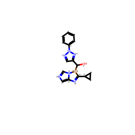 OC(c1cnn(-c2ccccc2)n1)[SH]1C(C2CC2)=Nc2cncn21